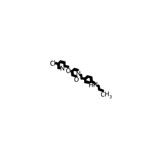 CCCCNCc1ccc(CCn2ccc(OCc3ccc(Cl)cn3)cc2=O)cc1